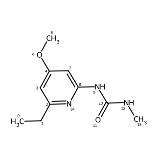 CCc1cc(OC)cc(NC(=O)NC)n1